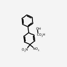 O=C(O)O.O=[N+]([O-])C1([N+](=O)[O-])C=CC(c2ccccc2)C=C1